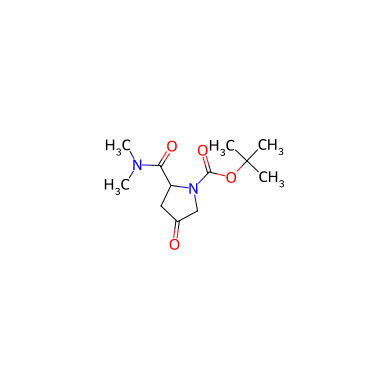 CN(C)C(=O)C1CC(=O)CN1C(=O)OC(C)(C)C